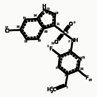 C=Cc1cc(F)c(NS(=O)(=O)c2c[nH]c3cc(Cl)ccc23)nc1F